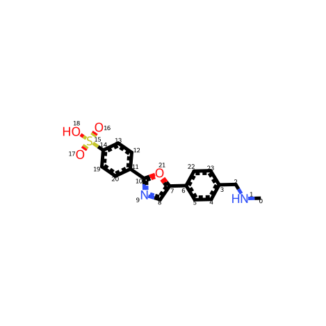 CNCc1ccc(-c2cnc(-c3ccc(S(=O)(=O)O)cc3)o2)cc1